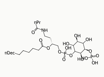 CCCCCCCCCCCCCCCC(=O)O[C@H](CCNC(=O)CCC)COP(=O)(O)OC1C(O)[C@@H](O)C(O)[C@@H](OP(=O)(O)O)[C@H]1O